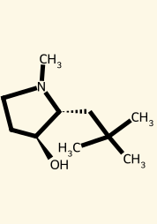 CN1CC[C@H](O)[C@H]1CC(C)(C)C